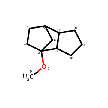 [CH2]OC12CCC(C1)C1CCCC12